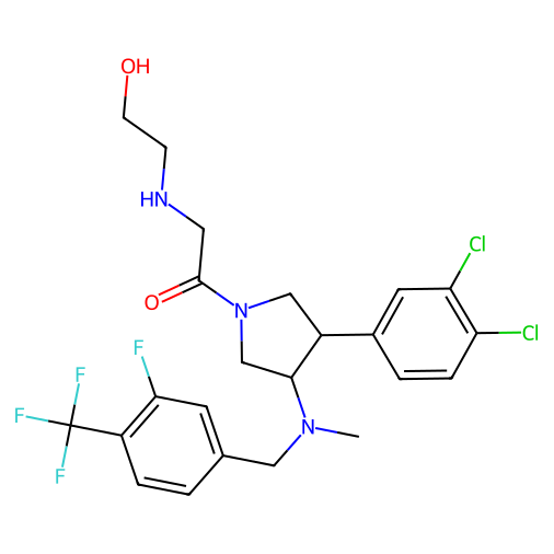 CN(Cc1ccc(C(F)(F)F)c(F)c1)C1CN(C(=O)CNCCO)CC1c1ccc(Cl)c(Cl)c1